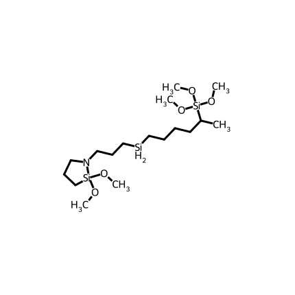 CO[Si](OC)(OC)C(C)CCCC[SiH2]CCCN1CCC[Si]1(OC)OC